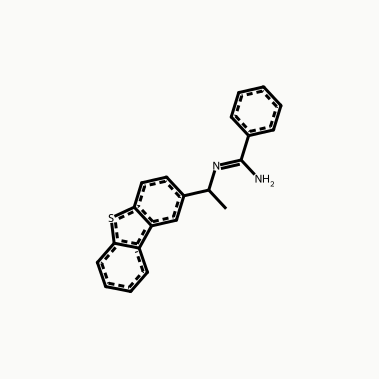 CC(/N=C(\N)c1ccccc1)c1ccc2sc3ccccc3c2c1